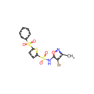 Cc1noc(NS(=O)(=O)c2ccc(S(=O)(=O)c3ccccc3)s2)c1Br